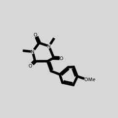 COc1ccc(C=C2C(=O)N(C)C(=O)N(C)C2=O)cc1